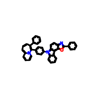 C1=CC2=CC=CC(c3ccccc3)=C(c3ccc(-n4c5ccccc5c5c6oc(-c7ccccc7)nc6ccc54)cc3)N2C=C1